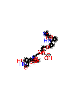 CC(C)(C)OC(=O)N(CCCCOC(=O)c1ccc(COc2cccc(C(NC(=O)O[C@H]3CN4CCC3CC4)c3ccccc3)c2)o1)CC(O[Si](C)(C)C(C)(C)C)c1ccc(O)c2[nH]c(=O)ccc12.O=CO